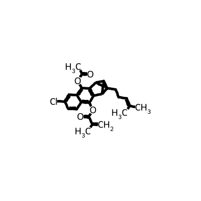 C=C(C)C(=O)Oc1c2c(c(OC(C)=O)c3cc(Cl)ccc13)C1C=C(CCC=C(C)C)C2C1